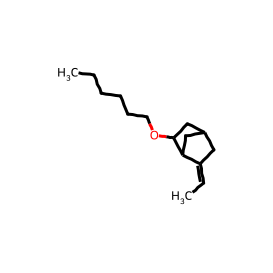 CC=C1CC2CC(OCCCCCC)C1C2